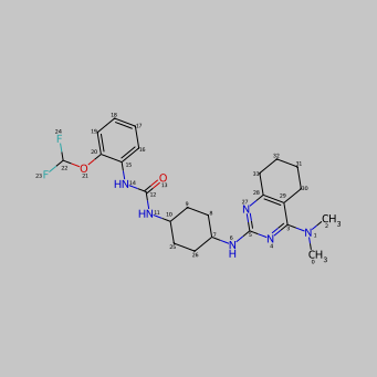 CN(C)c1nc(NC2CCC(NC(=O)Nc3ccccc3OC(F)F)CC2)nc2c1CCCC2